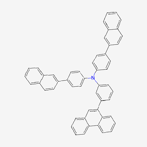 c1cc(-c2cc3ccccc3c3ccccc23)cc(N(c2ccc(-c3ccc4ccccc4c3)cc2)c2ccc(-c3ccc4ccccc4c3)cc2)c1